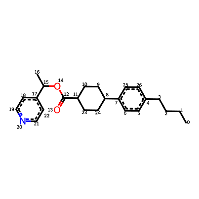 CCCCc1ccc(C2CCC(C(=O)OC(C)c3ccncc3)CC2)cc1